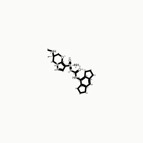 CN[C@@]1(C)COc2c([S@@](N)(=O)=NC(=O)Nc3c4c(cc5c3CCC5)CCC4)cnn2C1